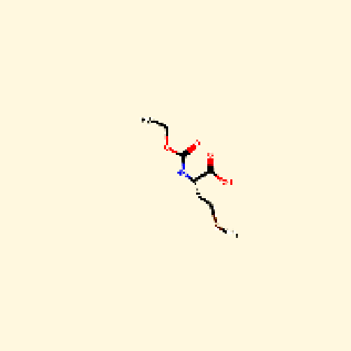 CCOC(=O)N[C@@H](CCSC)C(=O)O